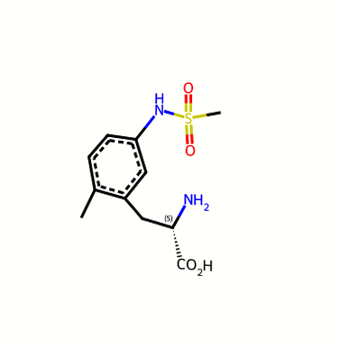 Cc1ccc(NS(C)(=O)=O)cc1C[C@H](N)C(=O)O